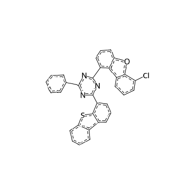 Clc1cccc2c1oc1cccc(-c3nc(-c4ccccc4)nc(-c4cccc5c4sc4ccccc45)n3)c12